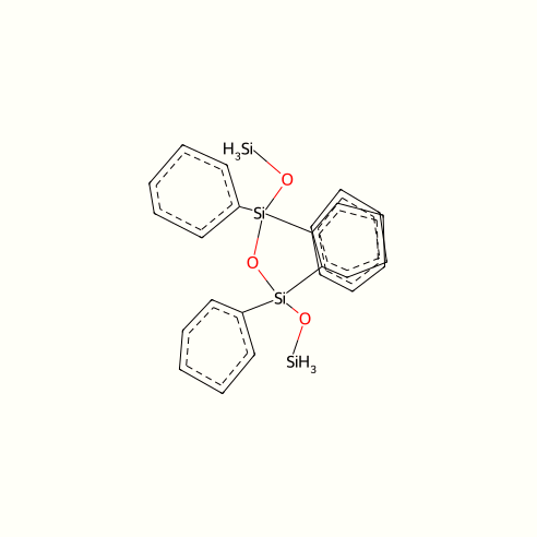 [SiH3]O[Si](O[Si](O[SiH3])(c1ccccc1)c1ccccc1)(c1ccccc1)c1ccccc1